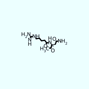 CC(=O)[C@H](CC(N)=O)NC(=O)CCCCNC(=N)N